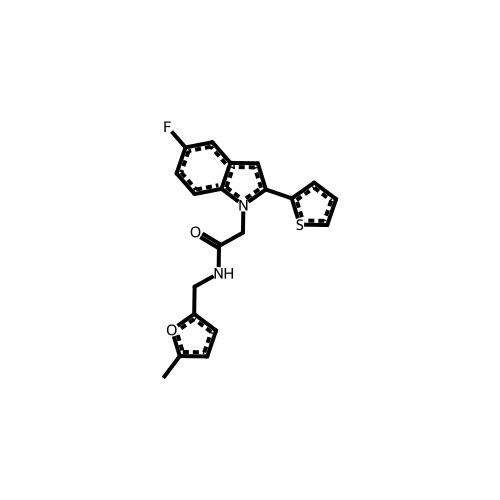 Cc1ccc(CNC(=O)Cn2c(-c3cccs3)cc3cc(F)ccc32)o1